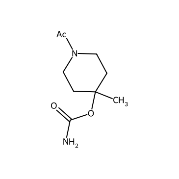 CC(=O)N1CCC(C)(OC(N)=O)CC1